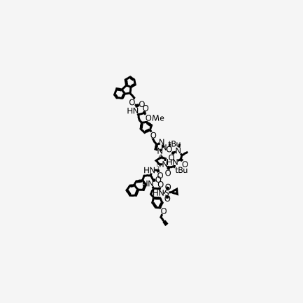 C#CCOc1ccc(CC(NC(=O)C(Cc2ccc3ccccc3c2)NC(=O)[C@@H]2C[C@H](n3cc(COc4ccc(CC(NC(=O)OCC5c6ccccc6-c6ccccc65)C(=O)OC)cc4)nn3)CN2C(=O)C(NC(=O)C(C)N(C)C(=O)OC(C)(C)C)C(C)(C)C)C(=O)NS(=O)(=O)C2CC2)cc1